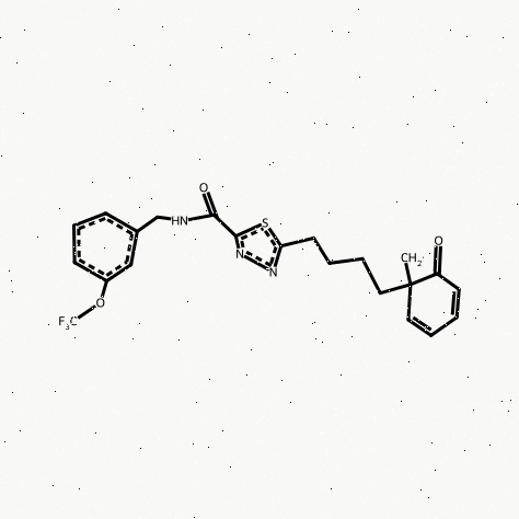 [CH2]C1(CCCCc2nnc(C(=O)NCc3cccc(OC(F)(F)F)c3)s2)C=CC=CC1=O